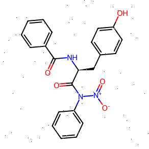 O=C(N[C@@H](Cc1ccc(O)cc1)C(=O)N(c1ccccc1)[N+](=O)[O-])c1ccccc1